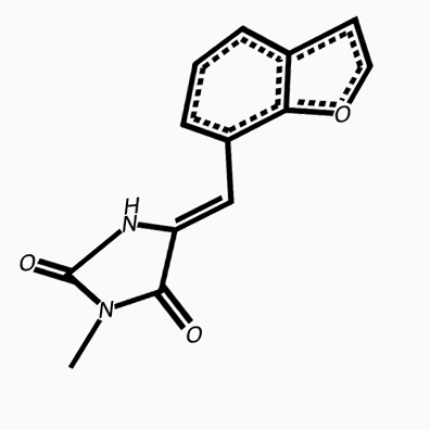 CN1C(=O)N/C(=C\c2cccc3ccoc23)C1=O